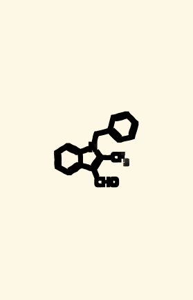 O=Cc1c(C(F)(F)F)n(Cc2ccccc2)c2ccccc12